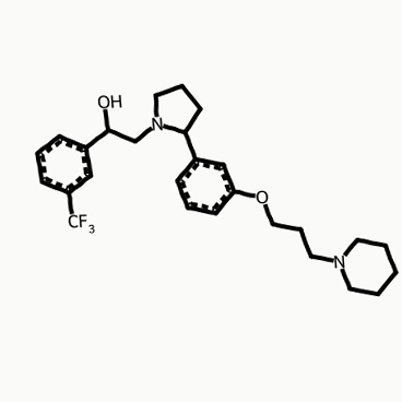 OC(CN1CCCC1c1cccc(OCCCN2CCCCC2)c1)c1cccc(C(F)(F)F)c1